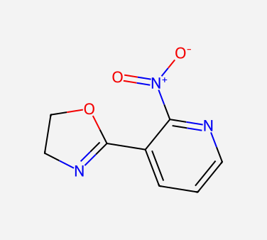 O=[N+]([O-])c1ncccc1C1=NCCO1